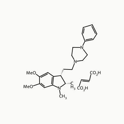 COc1cc2c(cc1OC)N(C)[C@@H](C)[C@H]2CCN1CCN(c2ccccc2)CC1.O=C(O)C=CC(=O)O